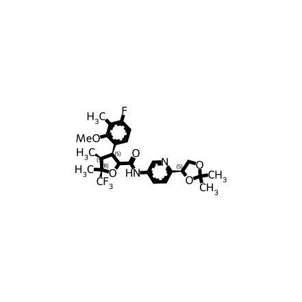 COc1c([C@H]2C(C(=O)Nc3ccc([C@H]4COC(C)(C)O4)nc3)O[C@@](C)(C(F)(F)F)[C@H]2C)ccc(F)c1C